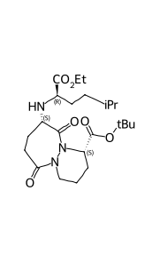 CCOC(=O)[C@@H](CCC(C)C)N[C@H]1CCC(=O)N2CCC[C@@H](C(=O)OC(C)(C)C)N2C1=O